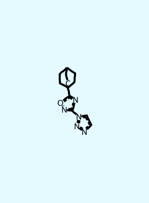 c1cn(-c2noc(C34CCC(CC3)CC4)n2)nn1